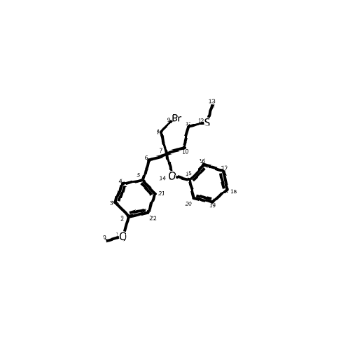 COc1ccc(CC(CBr)(CCSC)Oc2cc[c]cc2)cc1